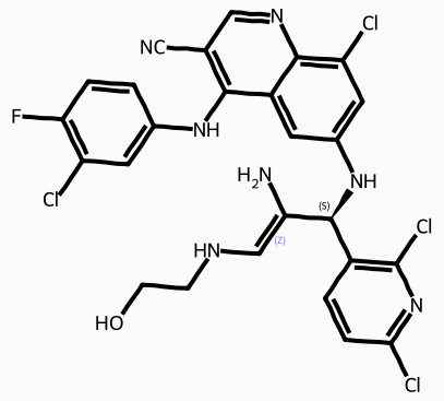 N#Cc1cnc2c(Cl)cc(N[C@H](/C(N)=C/NCCO)c3ccc(Cl)nc3Cl)cc2c1Nc1ccc(F)c(Cl)c1